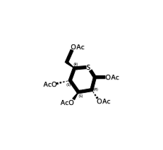 CC(=O)OC[C@H]1SC(OC(C)=O)[C@H](OC(C)=O)[C@@H](OC(C)=O)[C@@H]1OC(C)=O